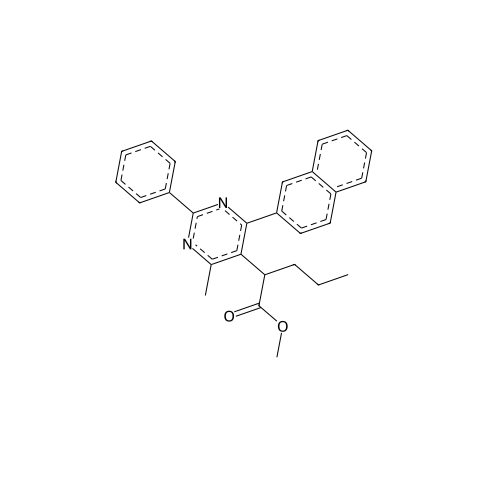 CCCC(C(=O)OC)c1c(C)nc(-c2ccccc2)nc1-c1ccc2ccccc2c1